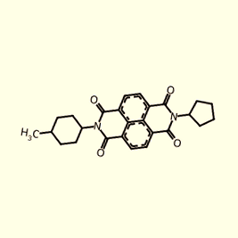 CC1CCC(N2C(=O)c3ccc4c5c(ccc(c35)C2=O)C(=O)N(C2CCCC2)C4=O)CC1